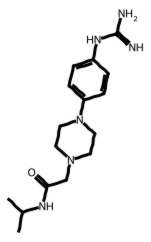 CC(C)NC(=O)CN1CCN(c2ccc(NC(=N)N)cc2)CC1